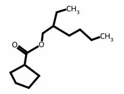 CCCCC(CC)COC(=O)C1CCCC1